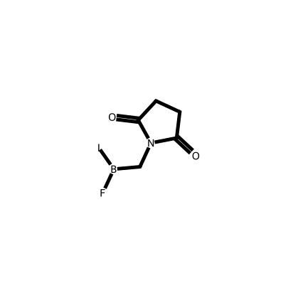 O=C1CCC(=O)N1CB(F)I